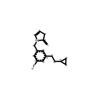 C=C1CC=CN1Cc1cc(F)cc(CCC2CC2)c1